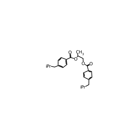 CC(C)Cc1ccc(C(=O)OCC(C)OC(=O)c2ccc(CC(C)C)cc2)cc1